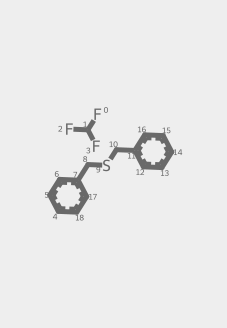 FC(F)F.c1ccc(CSCc2ccccc2)cc1